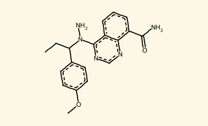 CCC(c1ccc(OC)cc1)N(N)c1ncnc2c(C(N)=O)cccc12